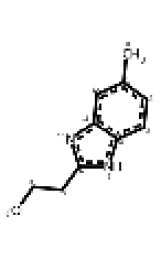 Cc1ccc2[nH]c(CC[O])nc2c1